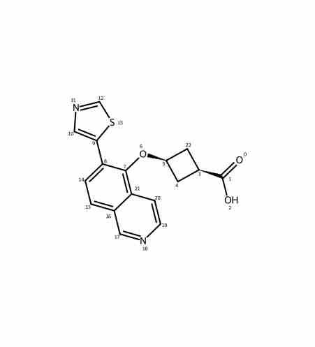 O=C(O)[C@H]1C[C@@H](Oc2c(-c3cncs3)ccc3cnccc23)C1